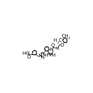 Cc1cccc(OCC2CC2C(=O)N2C[C@@H]3C[C@@H]3c3c(-c4cnn(Cc5cccc(C(=O)O)c5)c4)cccc32)c1C